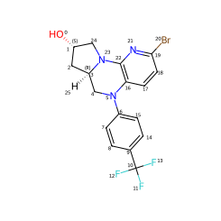 O[C@H]1C[C@@H]2CN(c3ccc(C(F)(F)F)cc3)c3ccc(Br)nc3N2C1